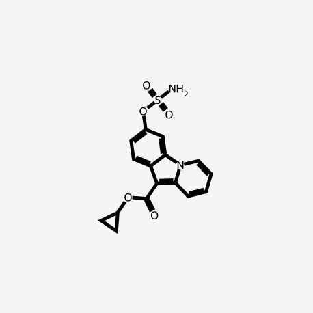 NS(=O)(=O)Oc1ccc2c(C(=O)OC3CC3)c3ccccn3c2c1